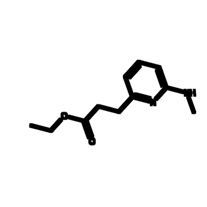 CCOC(=O)CCc1cccc(NC)n1